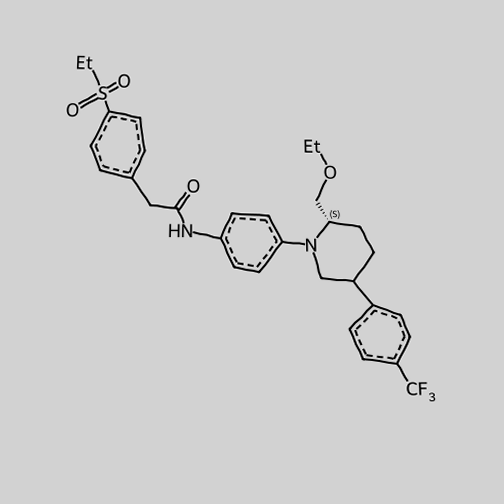 CCOC[C@@H]1CCC(c2ccc(C(F)(F)F)cc2)CN1c1ccc(NC(=O)Cc2ccc(S(=O)(=O)CC)cc2)cc1